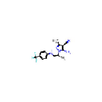 Cc1nn(C(C)CNc2ccc(C(F)(F)F)cc2)c(N)c1C#N